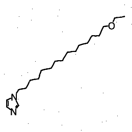 CCOCCCCCCCCCCCCCCCn1ccnc1